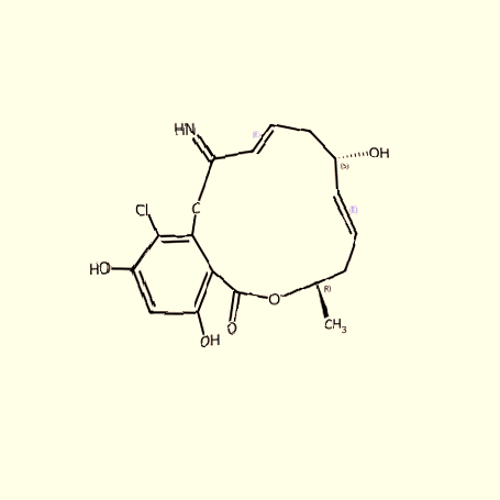 C[C@@H]1C/C=C/[C@@H](O)C/C=C/C(=N)Cc2c(Cl)c(O)cc(O)c2C(=O)O1